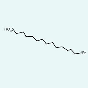 CC(C)CCCCCCCCCCCCCS(=O)(=O)O